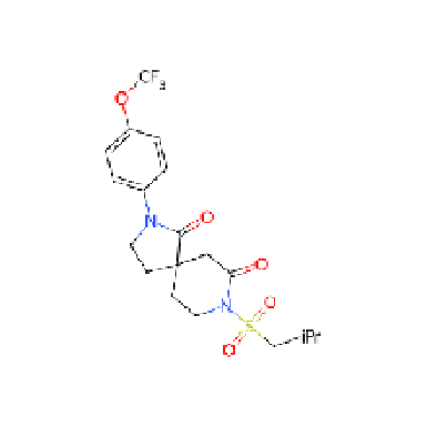 CC(C)CS(=O)(=O)N1CCC2(CCN(c3ccc(OC(F)(F)F)cc3)C2=O)CC1=O